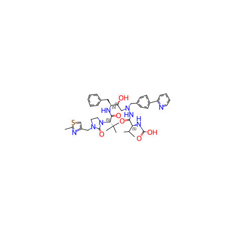 Cc1nc(CN2CCN([C@H](C(=O)N[C@@H](Cc3ccccc3)[C@@H](O)CN(Cc3ccc(-c4ccccn4)cc3)NC(=O)[C@@H](NC(=O)O)C(C)C)C(C)(C)C)C2=O)cs1